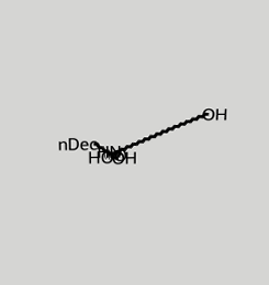 CCCCCCCCCCCCCCC[C@@H](O)[C@H](CO)NC(=O)CCCCCCCCCCCCCCCCCCCCCCCCCCCCCO